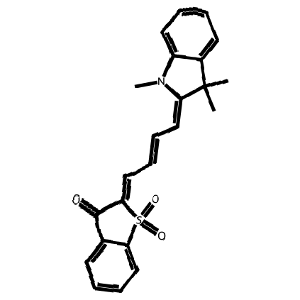 CN1C(=CC=CC=C2C(=O)c3ccccc3S2(=O)=O)C(C)(C)c2ccccc21